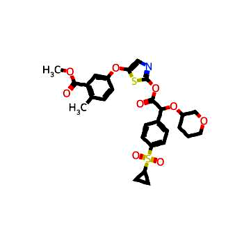 COC(=O)c1cc(Oc2cnc(OC(=O)C(OC3CCCOC3)c3ccc(S(=O)(=O)C4CC4)cc3)s2)ccc1C